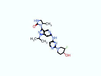 CC1CNC(=O)N1c1nn(C(C)C)c2cc(Nc3ccnc(N4CC[C@H](O)[C@H](F)C4)n3)ncc12